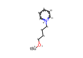 CC(C)(C)OCCCC[n+]1ccccc1